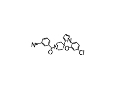 N#Cc1cccc(C(=O)N2CCC3(CC2)Oc2cc(Cl)ccc2-n2cccc23)c1